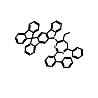 CCC1=C(n2c3ccccc3c3cc4c(cc32)-c2ccccc2C42c3ccccc3-c3ccccc32)N=C(c2ccccc2-c2ccccc2)N=C(c2ccccc2)C1